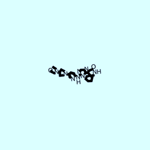 O=C1NCC2(CCCCC2)C2=c3nc(Nc4ccc(N5CCC(N6CCOCC6)CC5)cn4)ncc3=NC12